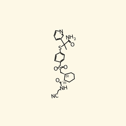 CC(Sc1ccc(S(=O)(=O)C[C@H]2CCCC[C@@H]2C(=O)NCC#N)cc1)(C(N)=O)c1cccnc1